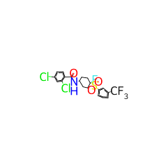 O=C(N[C@H]1CC[C@@](F)(S(=O)(=O)c2cccc(C(F)(F)F)c2)CC1)c1ccc(Cl)cc1Cl